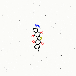 Cc1ccc2c(=O)c3c(sc4c(=O)c5cc(N)ccc5c(=O)c43)c(=O)c2c1